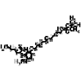 C=CCCCC(NC)Sc1cc(OCCOCCOCCOCCNC(=O)OC(C)(C)C)ccc1NC